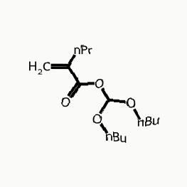 C=C(CCC)C(=O)OC(OCCCC)OCCCC